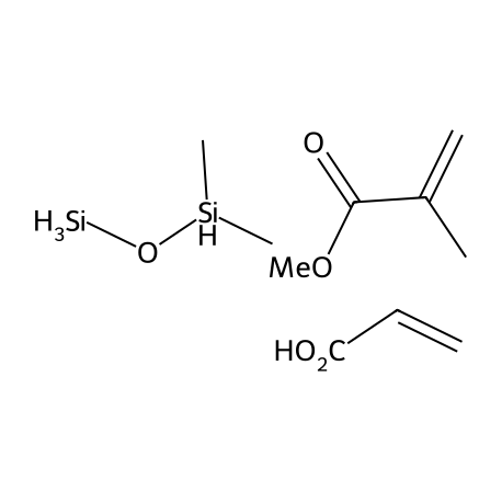 C=C(C)C(=O)OC.C=CC(=O)O.C[SiH](C)O[SiH3]